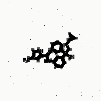 O=C(Nc1cccc(C(O)(CCC2CC2)c2cccnc2)c1)c1cc(C(F)(F)F)n[nH]1